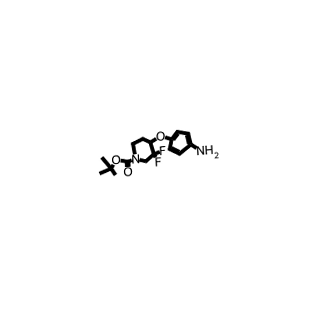 CC(C)(C)OC(=O)N1CCC(Oc2ccc(N)cc2)C(F)(F)C1